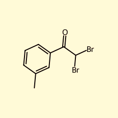 Cc1cccc(C(=O)C(Br)Br)c1